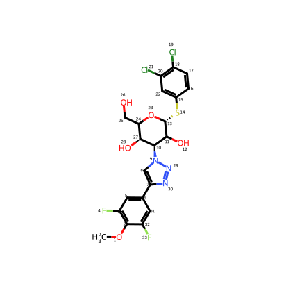 COc1c(F)cc(-c2cn([C@@H]3C(O)[C@@H](Sc4ccc(Cl)c(Cl)c4)OC(CO)[C@@H]3O)nn2)cc1F